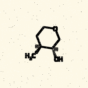 C[C@H]1CCOC[C@@H]1O